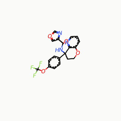 O=C(NC1(c2ccc(OC(F)(F)F)cc2)CCOc2cccnc21)c1cocn1